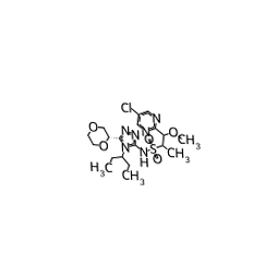 CCC(CC)n1c(NS(=O)(=O)C(C)C(OC)c2ncc(Cl)cn2)nnc1[C@H]1COCCO1